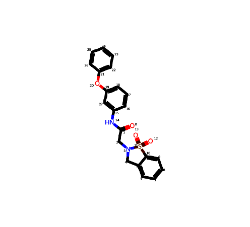 O=C(CN1Cc2ccccc2S1(=O)=O)Nc1cccc(Oc2ccccc2)c1